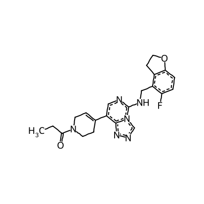 CCC(=O)N1CC=C(c2cnc(NCc3c(F)ccc4c3CCO4)n3cnnc23)CC1